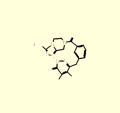 Cc1c(Cc2cccc(C(=O)N3CCn4c(nnc4C(F)(F)F)C3)c2)n[nH]c(=O)c1C